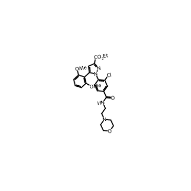 CCOC(=O)c1cc(-c2c(OC)cccc2OC)n(-c2ccc(C(=O)NCCN3CCOCC3)cc2Cl)n1